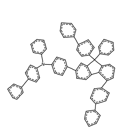 c1ccc(-c2ccc(-c3cccc4c3-c3ccc(-c5ccc(N(c6ccccc6)c6ccc(-c7ccccc7)cc6)cc5)cc3C4(c3ccccc3)c3ccc(-c4ccccc4)cc3)cc2)cc1